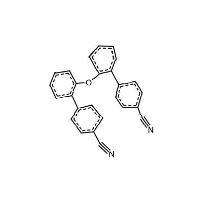 N#Cc1ccc(-c2ccccc2Oc2ccccc2-c2ccc(C#N)cc2)cc1